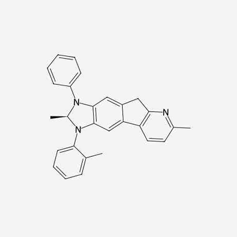 Cc1ccc2c(n1)Cc1cc3c(cc1-2)N(c1ccccc1C)[C@@H](C)N3c1ccccc1